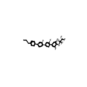 CCCc1ccc(-c2ccc(-c3ccc(-c4cc(F)c(OC(F)(F)C(F)F)c(F)c4)c(F)c3)c(F)c2)cc1